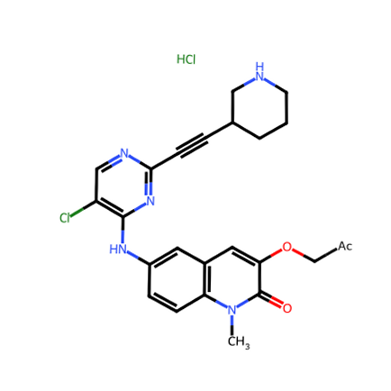 CC(=O)COc1cc2cc(Nc3nc(C#CC4CCCNC4)ncc3Cl)ccc2n(C)c1=O.Cl